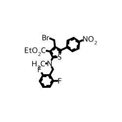 CCOC(=O)c1c(N(C)Cc2c(F)cccc2F)sc(-c2ccc([N+](=O)[O-])cc2)c1CBr